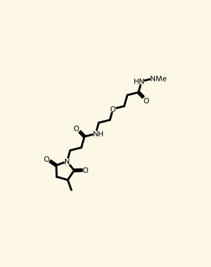 CNNC(=O)CCOCCNC(=O)CCN1C(=O)CC(C)C1=O